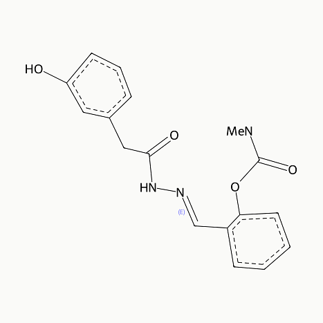 CNC(=O)Oc1ccccc1/C=N/NC(=O)Cc1cccc(O)c1